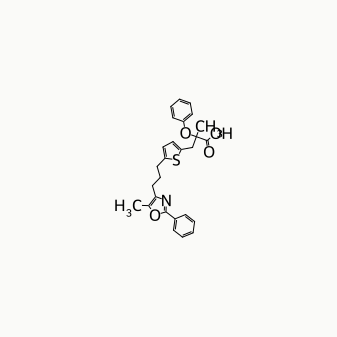 Cc1oc(-c2ccccc2)nc1CCCc1ccc(CC(C)(Oc2ccccc2)C(=O)O)s1